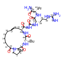 CC[C@@H](C)[C@@H]1NC(=O)[C@@H]2CCCN2C(=O)CCCCC/C=C/C[C@@H](C(=O)NC(=O)N[C@@H](CCCNC(=N)N)C(=O)N[C@H](C(N)=O)C(C)C)NC1=O